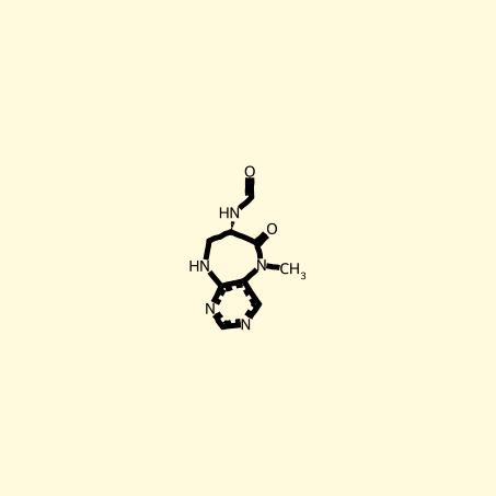 CN1C(=O)[C@@H](NC=O)CNc2ncncc21